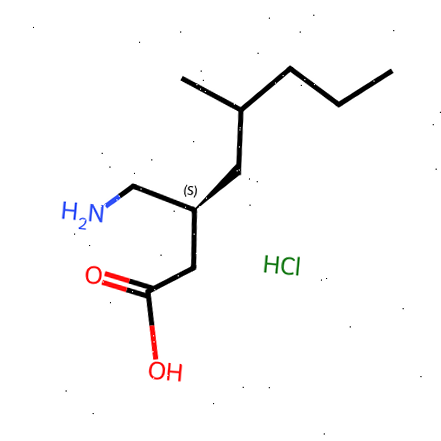 CCCC(C)C[C@H](CN)CC(=O)O.Cl